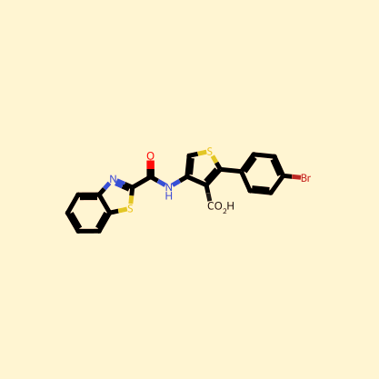 O=C(Nc1csc(-c2ccc(Br)cc2)c1C(=O)O)c1nc2ccccc2s1